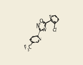 FC(F)(F)c1ccc(-c2noc(-c3sccc3Cl)n2)nc1